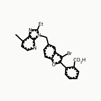 CCc1nc2c(C)ccnc2n1Cc1ccc2oc(-c3ccccc3C(=O)O)c(Br)c2c1